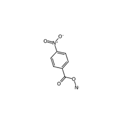 [N]OC(=O)c1ccc([N+](=O)[O-])cc1